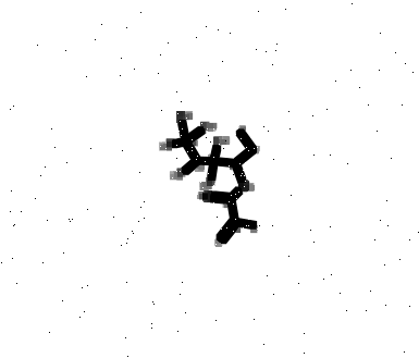 C=C(C)C(=O)OC(CC)C(F)(F)C(F)C(F)(F)F